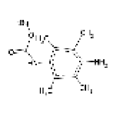 Cc1c(C)c(NC(=O)OC(C)(C)C)c(C)c(C)c1N